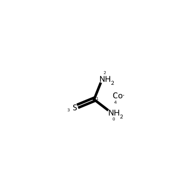 NC(N)=S.[Co]